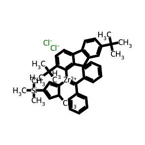 CC1C=C([Si](C)(C)C)C=[C]1[Zr+2](=[C](c1ccccc1)c1ccccc1)[c]1c(C(C)(C)C)ccc2c1Cc1cc(C(C)(C)C)ccc1-2.[Cl-].[Cl-]